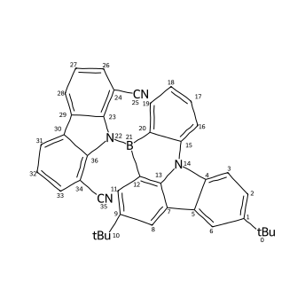 CC(C)(C)c1ccc2c(c1)c1cc(C(C)(C)C)cc3c1n2-c1ccccc1B3n1c2c(C#N)cccc2c2cccc(C#N)c21